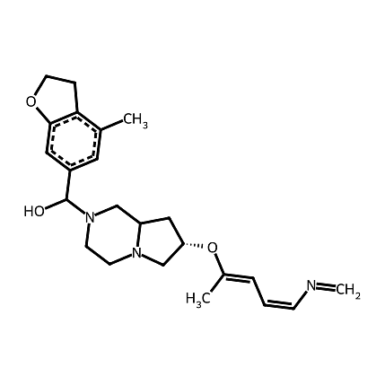 C=N/C=C\C=C(/C)O[C@H]1CC2CN(C(O)c3cc(C)c4c(c3)OCC4)CCN2C1